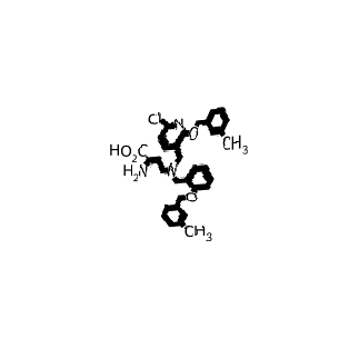 Cc1cccc(COc2ccccc2CN(CC[C@H](N)C(=O)O)Cc2ccc(Cl)nc2OCc2cccc(C)c2)c1